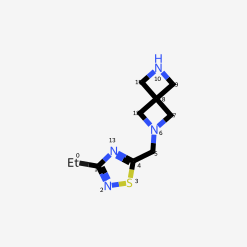 CCc1nsc(CN2CC3(CNC3)C2)n1